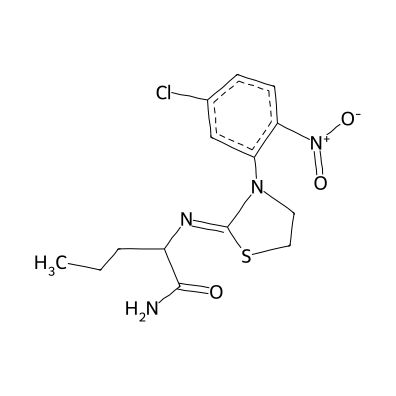 CCCC(N=C1SCCN1c1cc(Cl)ccc1[N+](=O)[O-])C(N)=O